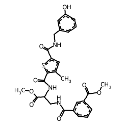 COC(=O)c1cccc(C(=O)NCC(NC(=O)c2sc(C(=O)NCc3cccc(O)c3)cc2C)C(=O)OC)c1